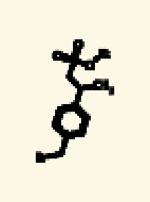 CCOS(=O)(=O)CC(C)c1ccc(CBr)cc1